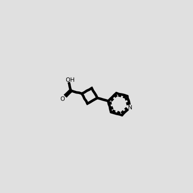 O=C(O)C1CC(c2ccncc2)C1